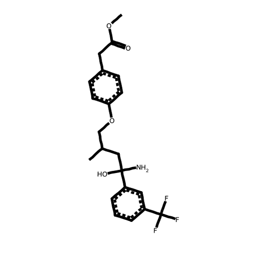 COC(=O)Cc1ccc(OCC(C)CC(N)(O)c2cccc(C(F)(F)F)c2)cc1